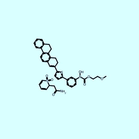 COCCOC(=O)N(O)c1cccc(-c2ccc(C3=Cc4ccc5c(c4CC3)CCc3ccccc3-5)s2)c1.NC(=O)CC1C=CC=CS1(=O)=O